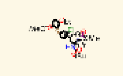 CCC[C@@](/C=C/P(=O)(OC)OC)(CCc1ccc(Sc2cc(OCC)ccc2OCOC)cc1Cl)NC(=O)OC(C)(C)C